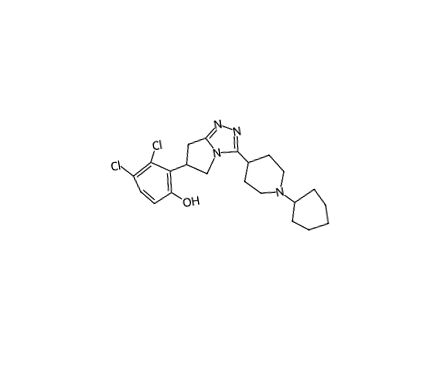 Oc1ccc(Cl)c(Cl)c1C1Cc2nnc(C3CCN(C4CCCCC4)CC3)n2C1